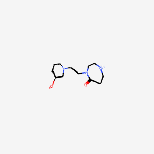 O=C1CCNCCN1CCN1CCC[C@H](O)C1